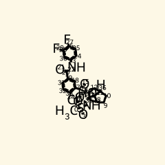 CS(=O)(=O)NC[C@@]1(O)C2CC[C@H]1C[C@H](S(=O)(=O)c1cc(C(=O)Nc3ccc(F)c(F)c3)ccc1Cl)C2